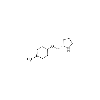 CN1CCC(OC[C@@H]2CCCN2)CC1